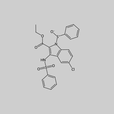 CCOC(=O)c1c(NS(=O)(=O)c2ccccc2)c2cc(Cl)ccc2n1[S+]([O-])c1ccccc1